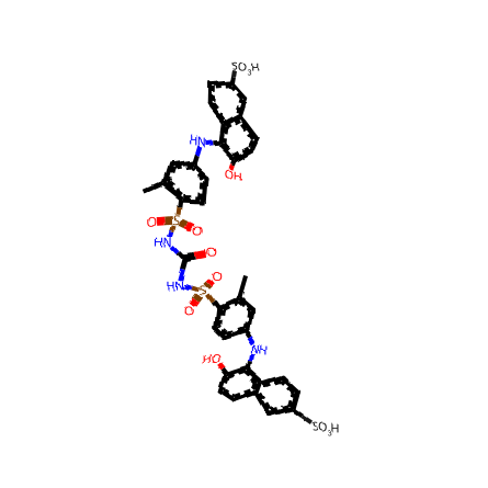 Cc1cc(Nc2c(O)ccc3cc(S(=O)(=O)O)ccc23)ccc1S(=O)(=O)NC(=O)NS(=O)(=O)c1ccc(Nc2c(O)ccc3cc(S(=O)(=O)O)ccc23)cc1C